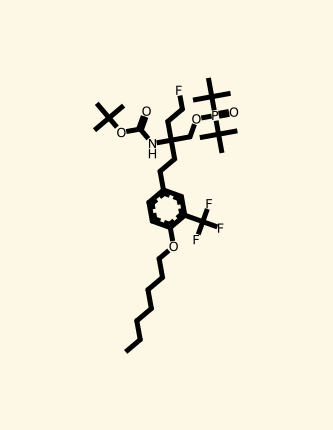 CCCCCCCOc1ccc(CCC(CCF)(COP(=O)(C(C)(C)C)C(C)(C)C)NC(=O)OC(C)(C)C)cc1C(F)(F)F